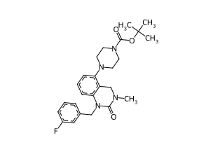 CN1Cc2c(N3CCN(C(=O)OC(C)(C)C)CC3)cccc2N(Cc2cccc(F)c2)C1=O